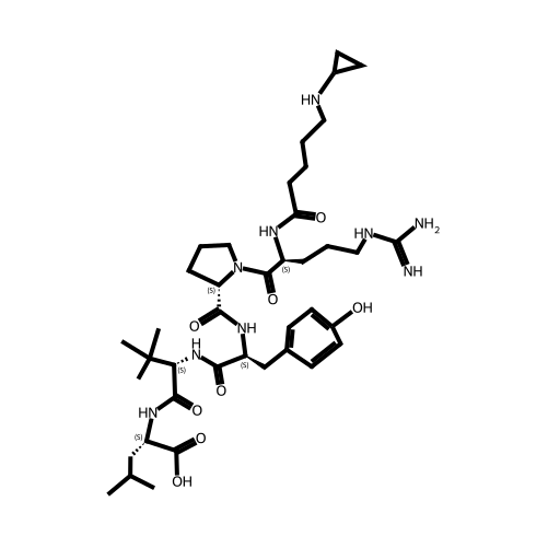 CC(C)C[C@H](NC(=O)[C@@H](NC(=O)[C@H](Cc1ccc(O)cc1)NC(=O)[C@@H]1CCCN1C(=O)[C@H](CCCNC(=N)N)NC(=O)CCCCNC1CC1)C(C)(C)C)C(=O)O